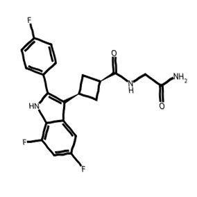 NC(=O)CNC(=O)[C@H]1C[C@@H](c2c(-c3ccc(F)cc3)[nH]c3c(F)cc(F)cc32)C1